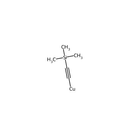 C[Si](C)(C)C#[C][Cu]